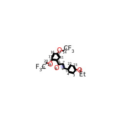 CCOc1ccc(/C=C/C(=O)c2cc(OCC(F)(F)F)ccc2OCC(F)(F)F)cc1